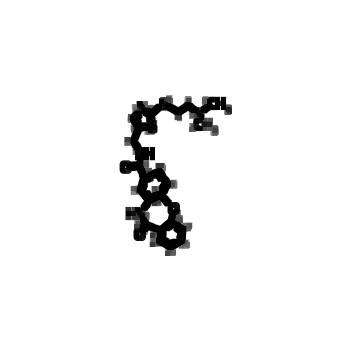 CN(C)CCSc1ncc(CNC(=O)c2ccc3c(c2)NC(=O)c2ccccc2O3)s1